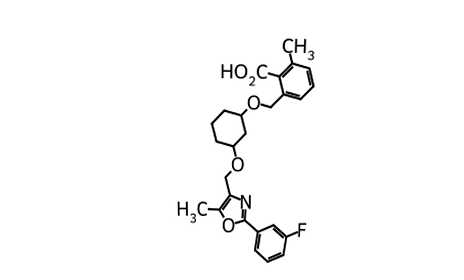 Cc1cccc(COC2CCCC(OCc3nc(-c4cccc(F)c4)oc3C)C2)c1C(=O)O